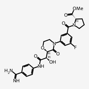 COC(=O)[C@@H]1CCCN1C(=O)c1cc(F)cc(N2CCO[C@H]([C@@H](O)C(=O)Nc3ccc(C(=N)N)cc3)C2=O)c1